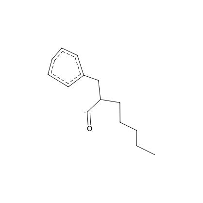 CCCCCC([C]=O)Cc1ccccc1